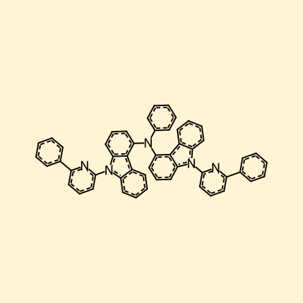 c1ccc(-c2cccc(-n3c4ccccc4c4c(N(c5ccccc5)c5cccc6c5c5ccccc5n6-c5cccc(-c6ccccc6)n5)cccc43)n2)cc1